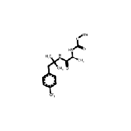 C[C@H](NC(=O)OC(C)(C)C)C(=O)NC(C)(C)Cc1ccc(C(F)(F)F)cc1